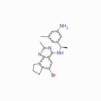 Cc1cc(N)cc([C@@H](C)Nc2nc(C)nc3c4c(c(Br)cc23)CCC4)c1